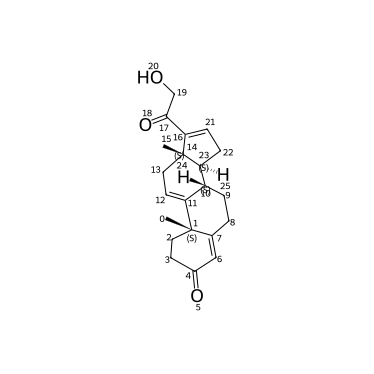 C[C@]12CCC(=O)C=C1CC[C@@H]1C2=CC[C@]2(C)C(C(=O)CO)=CC[C@@H]12